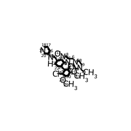 CCN1CCN(Cc2cnc3c(C(=O)Nc4cccnc4)ccc(-c4c(Cl)c(OC)cc(OC)c4Cl)c3n2)CC1